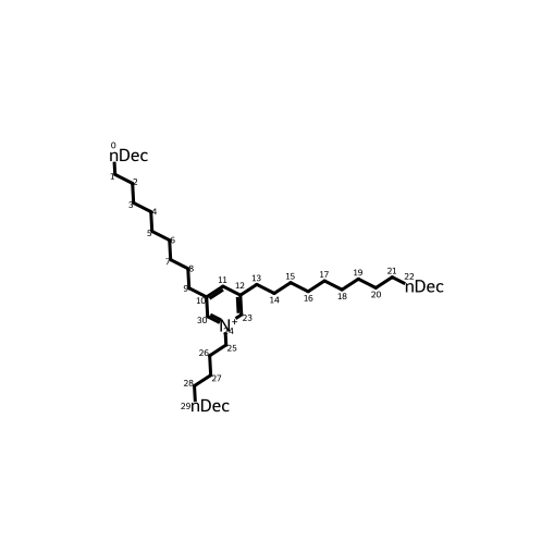 CCCCCCCCCCCCCCCCCCCc1cc(CCCCCCCCCCCCCCCCCCC)c[n+](CCCCCCCCCCCCCC)c1